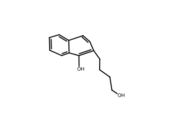 OCCCCc1ccc2ccccc2c1O